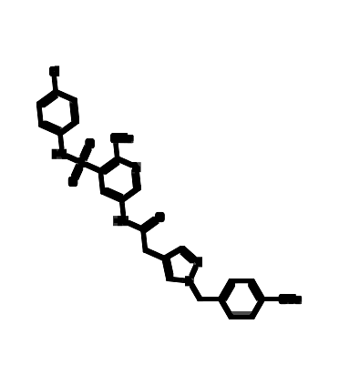 COc1ccc(Cn2cc(CC(=O)Nc3cnc(OC)c(S(=O)(=O)Nc4ccc(Cl)cc4)c3)cn2)cc1